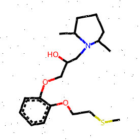 CSCCOc1ccccc1OCC(O)CN1C(C)CCCC1C